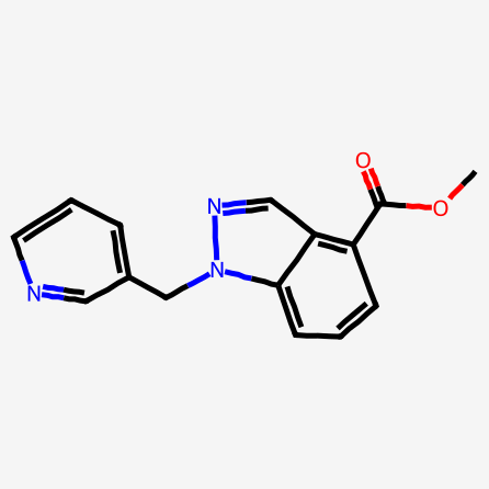 COC(=O)c1cccc2c1cnn2Cc1cccnc1